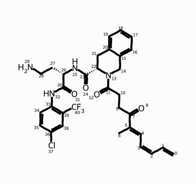 C=C/C=C\C=C(/C)C(=O)CCC(=O)N1Cc2ccccc2C[C@H]1C(=O)N[C@@H](CCN)C(=O)Nc1ccc(Cl)cc1C(F)(F)F